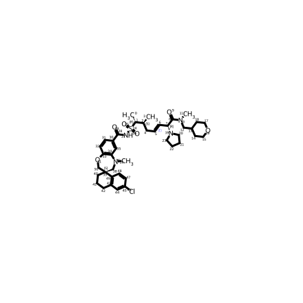 C[C@H]([C@@H](C)C/C=C/[C@H](C(=O)N(C)CC1CCOCC1)N1CCCC1)S(=O)(=O)NC(=O)c1ccc2c(c1)N(C)C[C@@]1(CCCc3cc(Cl)ccc31)CO2